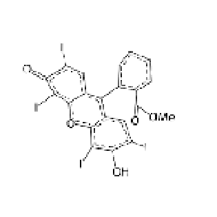 COC(=O)c1ccccc1-c1c2cc(I)c(=O)c(I)c-2oc2c(I)c(O)c(I)cc12